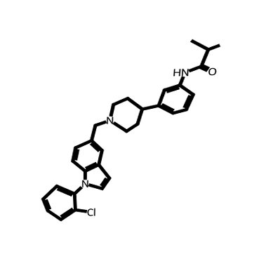 CC(C)C(=O)Nc1cccc(C2CCN(Cc3ccc4c(ccn4-c4ccccc4Cl)c3)CC2)c1